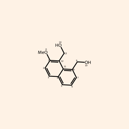 COc1ccc2cccc(CO)c2c1CO